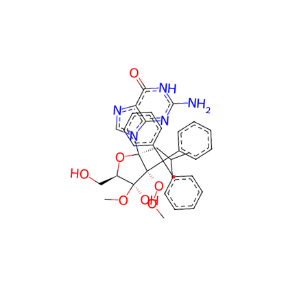 COO[C@]1(C(c2ccccc2)(c2ccccc2)c2ccccc2)[C@@](O)(OC)[C@@H](CO)O[C@@]1(CC(C)C)n1cnc2c(=O)[nH]c(N)nc21